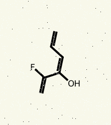 C=C/C=C(/O)C(=C)F